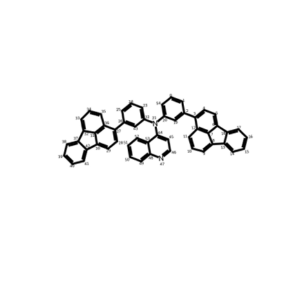 c1cc(-c2ccc3c4c(cccc24)-c2ccccc2-3)cc(N(c2cccc(-c3ccc4c5c(cccc35)-c3ccccc3-4)c2)c2ccnc3ccccc23)c1